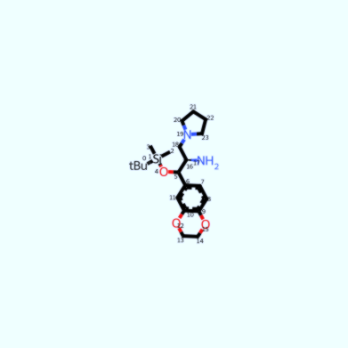 CC(C)(C)[Si](C)(C)OC(c1ccc2c(c1)OCCO2)[C@H](N)CN1CCCC1